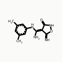 Cc1cc(C)cc(N/C(N)=C2/C(=N)ONC2=O)c1